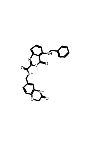 O=C1COc2ccc(CNC(=O)c3nc4cccc(NCc5ccccc5)c4c(=O)[nH]3)cc2N1